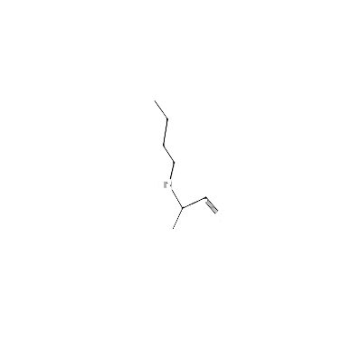 CCCCNC(C)C=O